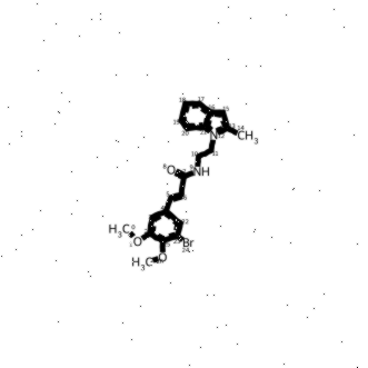 COc1cc(/C=C/C(=O)NCCn2c(C)cc3ccccc32)cc(Br)c1OC